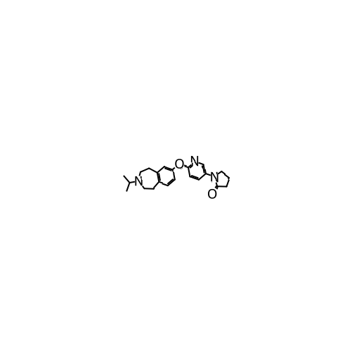 CC(C)N1CCc2ccc(Oc3ccc(N4CCCC4=O)cn3)cc2CC1